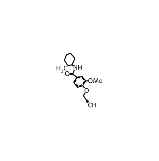 C#CCOc1ccc(C(=O)NC2CCCCC2C)cc1OC